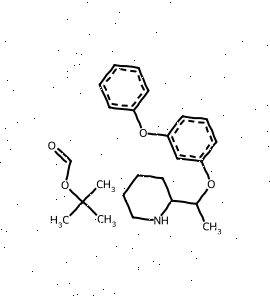 CC(C)(C)OC=O.CC(Oc1cccc(Oc2ccccc2)c1)C1CCCCN1